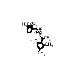 Cc1cc(C)c(/C(=N/OS(=O)(=O)CC23CCC(CC2=O)C3(C)C)C(F)(F)F)c(C)c1